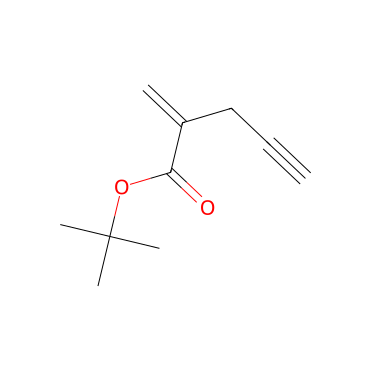 C#CCC(=C)C(=O)OC(C)(C)C